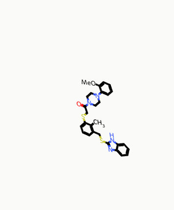 COc1ccccc1N1CCN(C(=O)CSc2cccc(CSc3nc4ccccc4[nH]3)c2C)CC1